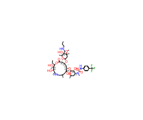 CCCNC[C@]1(O)[C@H](C)O[C@@H](O[C@H]2[C@H](C)[C@@H](O[C@@H]3O[C@H](C)C[C@H](N(C)S(=O)(=O)Nc4ccc(C(F)(F)F)cc4)[C@H]3O)[C@](C)(O)C[C@@H](C)CN[C@H](C)[C@@H](O)[C@](C)(O)[C@@H](CC)OC(=O)[C@@H]2C)C[C@@]1(C)OC